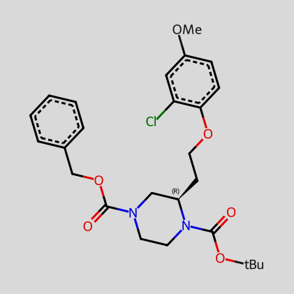 COc1ccc(OCC[C@@H]2CN(C(=O)OCc3ccccc3)CCN2C(=O)OC(C)(C)C)c(Cl)c1